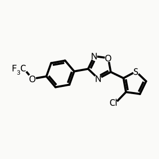 FC(F)(F)Oc1ccc(-c2noc(-c3sccc3Cl)n2)cc1